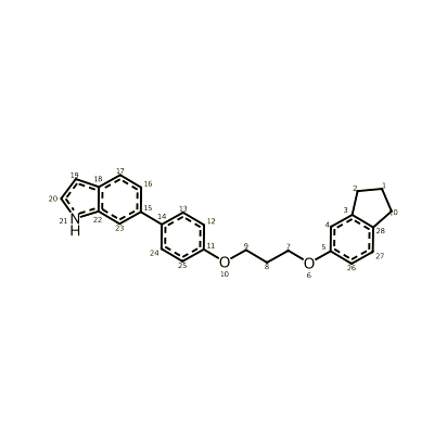 [CH]1CCc2cc(OCCCOc3ccc(-c4ccc5cc[nH]c5c4)cc3)ccc21